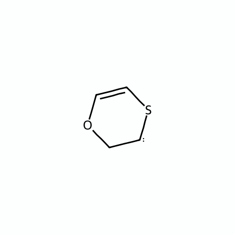 [C]1COC=CS1